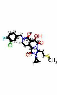 CSCCC1N(C2CC2)C(=O)c2c3c(c(O)c(=O)n21)C(=O)N(Cc1ccc(F)c(Cl)c1)CC3